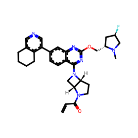 C=CC(=O)N1CC[C@@H]2[C@H]1CN2c1nc(OC[C@@H]2C[C@@H](F)CN2C)nc2cc(-c3cncc4c3CCCC4)ccc12